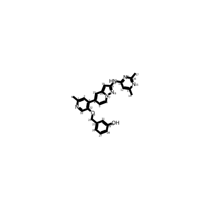 Cc1cc(-c2ccn3nc(Nc4cc(C)nc(C)n4)cc3c2)c(OCc2cccc(O)c2)cn1